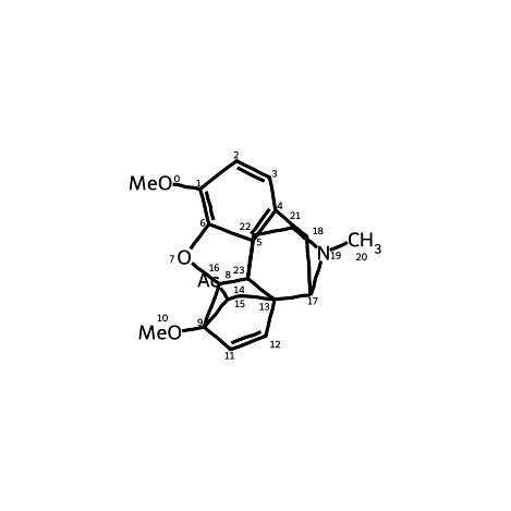 COc1ccc2c3c1OC1C4(OC)C=CC5(CC4C(C)=O)C(C2)N(C)CCC315